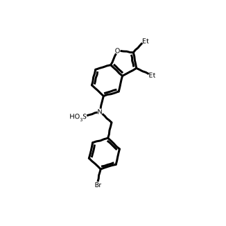 CCc1oc2ccc(N(Cc3ccc(Br)cc3)S(=O)(=O)O)cc2c1CC